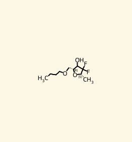 CCCCOC[C@H]1O[C@@H](C)C(F)(F)C1O